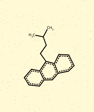 CC(C)CCc1c2ccccc2cc2ccccc12